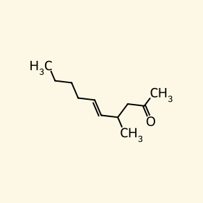 CCCC/C=C/C(C)CC(C)=O